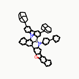 c1ccc(-c2ccc(N3B4c5c(cc6ccccc6c5-n5c6ccc(C78CC9CC(CC(C9)C7)C8)cc6c6cc(C78CC9CC(CC(C9)C7)C8)cc4c65)-c4cc5oc6cc7ccccc7cc6c5cc43)cc2)cc1